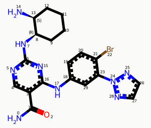 NC(=O)c1cnc(N[C@@H]2CCCC[C@@H]2N)nc1Nc1ccc(Br)c(-n2nccn2)c1